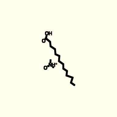 CCCCCCCCCCCCCC(=O)O.C[NH+](C)[O-]